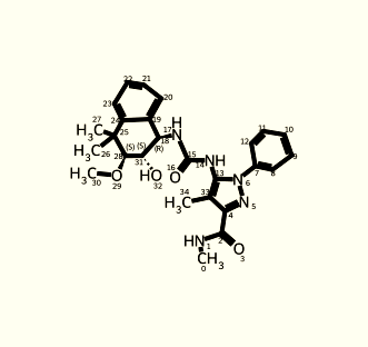 CNC(=O)c1nn(-c2ccccc2)c(NC(=O)N[C@@H]2c3ccccc3C(C)(C)[C@H](OC)[C@H]2O)c1C